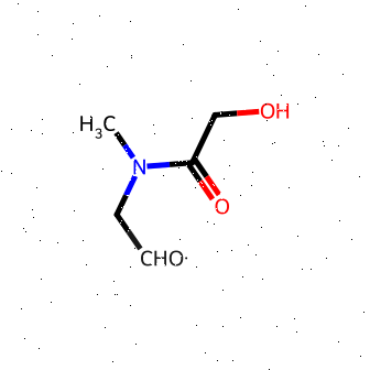 CN(C[C]=O)C(=O)CO